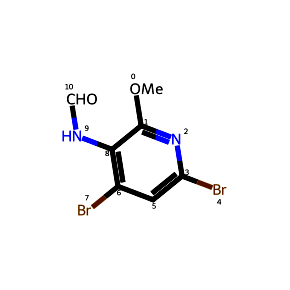 COc1nc(Br)cc(Br)c1NC=O